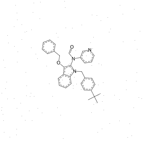 CC(C)(C)c1ccc(Cn2c(N(C=O)c3cccnc3)c(OCc3ccccc3)c3ccccc32)cc1